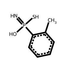 Cc1ccccc1P(=N)(O)S